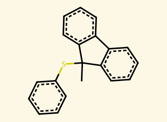 CC1(Sc2ccccc2)c2ccccc2-c2ccccc21